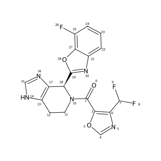 O=C(c1ocnc1C(F)F)N1CCc2[nH]cnc2[C@H]1c1nc2cccc(F)c2o1